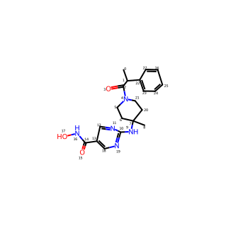 CC(C(=O)N1CCC(C)(Nc2ncc(C(=O)NO)cn2)CC1)c1ccccc1